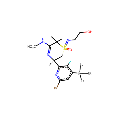 CC[Si](CC)(CC)c1cc(Br)nc([C@]2(C)C[S@@](=O)(=NCCO)C(C)(C)C(NC(=O)O)=N2)c1F